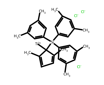 CC1=CC=C(C)[C]1([Ti+3])[Si](c1cc(C)cc(C)c1)(c1cc(C)cc(C)c1)c1cc(C)cc(C)c1.[Cl-].[Cl-].[Cl-]